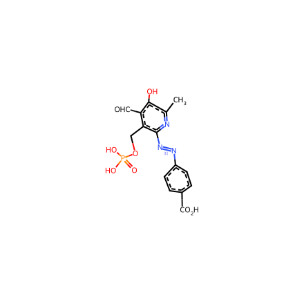 Cc1nc(/N=N/c2ccc(C(=O)O)cc2)c(COP(=O)(O)O)c(C=O)c1O